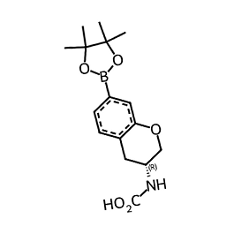 CC1(C)OB(c2ccc3c(c2)OC[C@H](NC(=O)O)C3)OC1(C)C